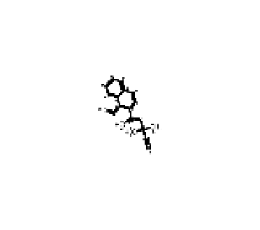 C=C(CC(C)(C)C#N)c1ccc2ccccc2c1C=O